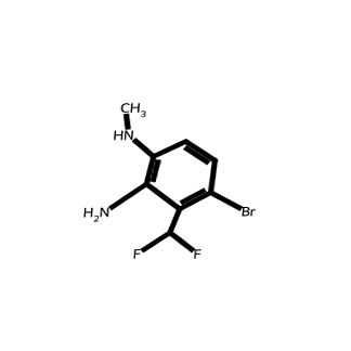 CNc1ccc(Br)c(C(F)F)c1N